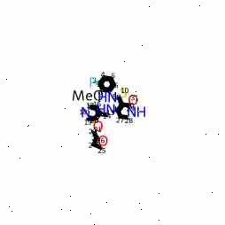 COc1c(F)cccc1NC(=S)C1=C(NCc2ccncc2OCC2CCO2)CCNC1=O